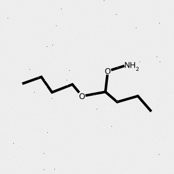 CCCCOC(CCC)ON